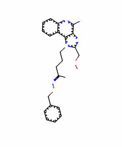 CCOCc1nc2c(N)nc3ccccc3c2n1CCC/C(C)=N/OCc1ccccc1.Cl